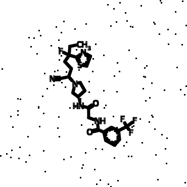 CCC(F)(CCC(C#N)N1CC[C@@H](NC(=O)CNC(=O)c2cccc(C(F)(F)F)c2)C1)c1nccs1